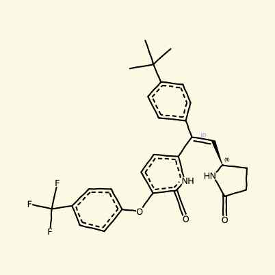 CC(C)(C)c1ccc(/C(=C/[C@H]2CCC(=O)N2)c2ccc(Oc3ccc(C(F)(F)F)cc3)c(=O)[nH]2)cc1